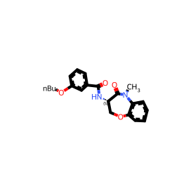 CCCCOc1cccc(C(=O)N[C@H]2COc3ccccc3N(C)C2=O)c1